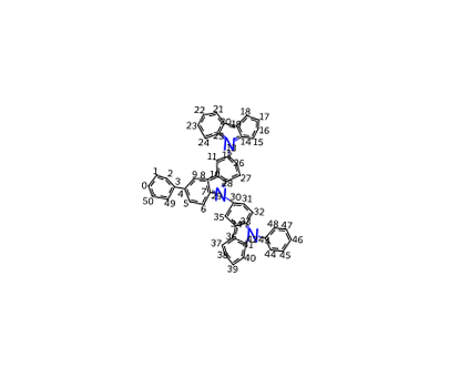 c1ccc(-c2ccc3c(c2)c2cc(-n4c5ccccc5c5ccccc54)ccc2n3-c2ccc3c(c2)c2ccccc2n3-c2ccccc2)cc1